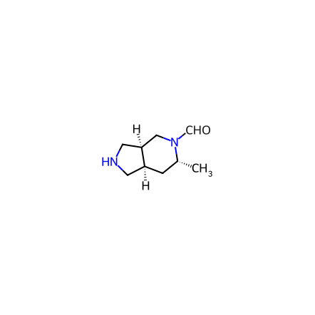 C[C@@H]1C[C@H]2CNC[C@H]2CN1C=O